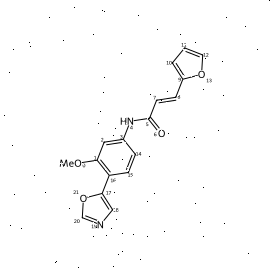 COc1cc(NC(=O)C=Cc2ccco2)ccc1-c1cnco1